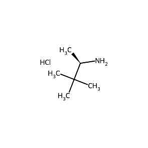 C[C@@H](N)C(C)(C)C.Cl